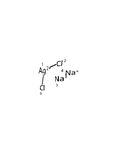 [Cl][Ag-2][Cl].[Na+].[Na+]